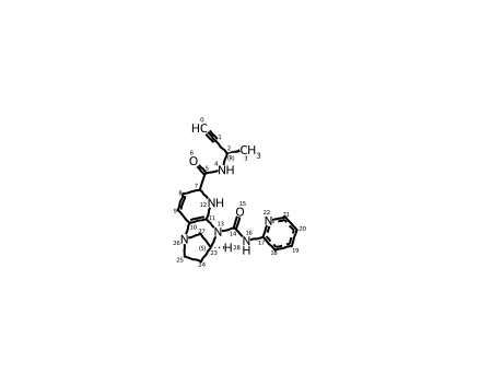 C#C[C@@H](C)NC(=O)C1C=CC2=C(N1)N(C(=O)Nc1ccccn1)[C@H]1CCN2C1